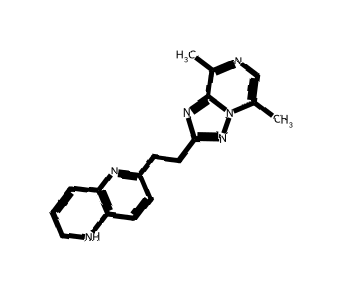 Cc1ncc(C)n2nc(CCc3ccc4c(n3)C=CCN4)nc12